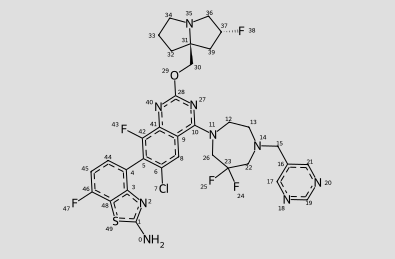 Nc1nc2c(-c3c(Cl)cc4c(N5CCN(Cc6cncnc6)CC(F)(F)C5)nc(OC[C@@]56CCCN5C[C@H](F)C6)nc4c3F)ccc(F)c2s1